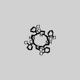 ClC1C=CC=CC1(Cl)c1c2nc(c(C3(Cl)C=CC=CC3Cl)c3ccc([nH]3)c(C3(Cl)C=CC=CC3Cl)c3nc(c(C4(Cl)C=CC=CC4Cl)c4ccc1[nH]4)C=C3)C=C2